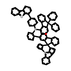 c1ccc(C2(c3ccccc3)c3ccccc3-c3c(N(c4ccc(-c5cccc6c5oc5ccccc56)cc4)c4ccccc4-c4ccc5c(c4)C4(c6ccccc6-5)c5ccccc5-n5c6ccccc6c6cccc4c65)cccc32)cc1